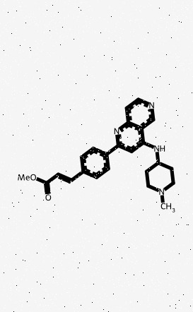 COC(=O)/C=C/c1ccc(-c2cc(NC3CCN(C)CC3)c3cnccc3n2)cc1